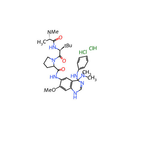 CN[C@@H](C)C(=O)N[C@H](C(=O)N1CCCC1C(=O)Nc1cc2c(cc1OC)NC=N[C@@]2(Nc1ccccc1)N(C)C)C(C)(C)C.Cl.Cl